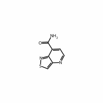 NC(=O)c1ccnc2csnc12